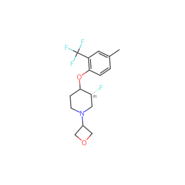 Cc1ccc(OC2CCN(C3COC3)C[C@H]2F)c(C(F)(F)F)c1